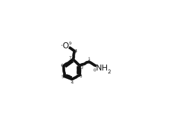 NCc1ccccc1C[O]